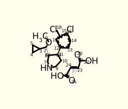 COC(C1CC1)[C@H]1CNCC[C@@H]1c1ccc(Cl)c(Cl)c1.O=C(O)/C=C/C(=O)O